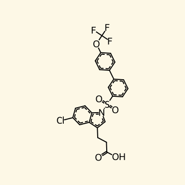 O=C(O)CCc1cn(S(=O)(=O)c2cccc(-c3ccc(OC(F)(F)F)cc3)c2)c2ccc(Cl)cc12